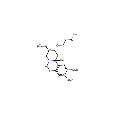 COc1cc2c(cc1OC)[C@H]1C[C@@H](OCCCF)[C@H](CC(C)C)CN1CC2